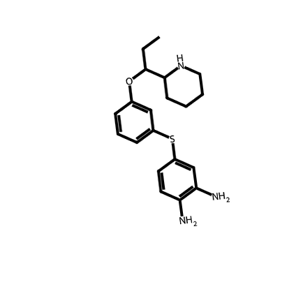 CCC(Oc1cccc(Sc2ccc(N)c(N)c2)c1)C1CCCCN1